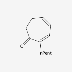 CCCCCC1=CC=CCCC1=O